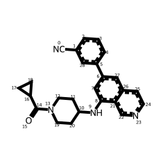 N#Cc1cccc(-c2cc(NC3CCN(C(=O)C4CC4)CC3)c3cnccc3c2)c1